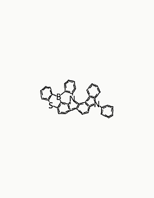 c1ccc(-n2c3ccccc3c3c2ccc2c4ccc5c6c4n(c23)-c2ccccc2B6c2ccccc2S5)cc1